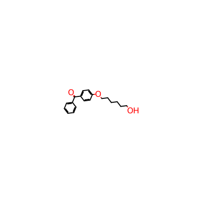 O=C(c1ccccc1)c1ccc(OCCCCCCO)cc1